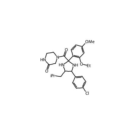 CCOc1cc(OC)ccc1C1(C(=O)N2CCNC(=O)C2)NC(CC(C)C)C(c2ccc(Cl)cc2)N1